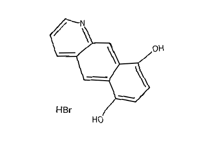 Br.Oc1ccc(O)c2cc3ncccc3cc12